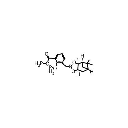 CC1(C)[C@@H]2C[C@H]3OB(Cc4cccc(C(=O)OP)c4OP)O[C@@]3(C)[C@H]1C2